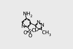 Cc1nnc(-c2cc(N)cnc2S(=O)(=O)Cl)o1